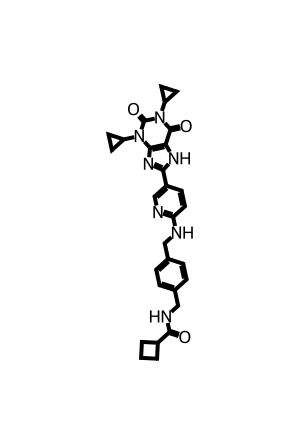 O=C(NCc1ccc(CNc2ccc(-c3nc4c([nH]3)c(=O)n(C3CC3)c(=O)n4C3CC3)cn2)cc1)C1CCC1